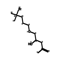 C=C(C)CC(O)COCCCS(C)(C)C(C)C